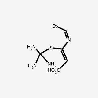 CC/C=N\C(=C\C(=O)O)SC(N)(N)N